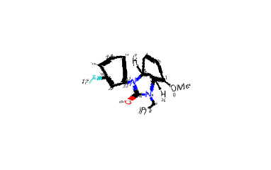 CO[C@@H]1C=C[C@@H]2[C@H]1N(CC(C)C)C(=O)N2c1cccc(F)c1